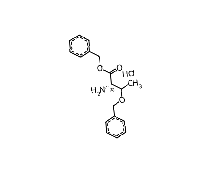 CC(OCc1ccccc1)[C@H](N)C(=O)OCc1ccccc1.Cl